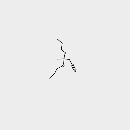 CCCOC(C)(CC#N)OCCC